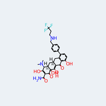 CN(C)C1C(O)=C(C(N)=O)C(=O)[C@@]2(O)C(O)=C3C(=O)c4c(O)ccc(-c5ccc(CNCCC(F)(F)F)cc5)c4C[C@H]3C[C@@H]12